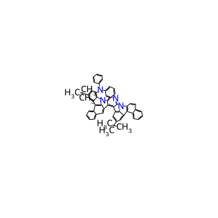 CC(C)(C)c1cc(N(c2ccccc2)c2ccccc2)c2c(c1)c1c3ccccc3cc3c4c5c6cc(C(C)(C)C)cc7c8c9ccccc9ccc8n(c5ncc4n2c31)c76